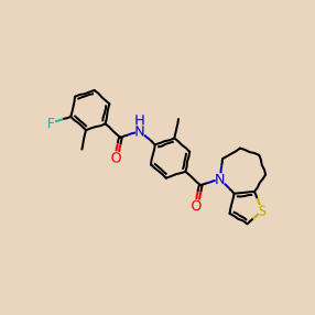 Cc1cc(C(=O)N2CCCCc3sccc32)ccc1NC(=O)c1cccc(F)c1C